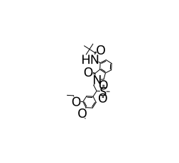 CCOc1cc(C(CN2Cc3cccc(NC(=O)C(C)(C)C)c3C2=O)S(C)(=O)=O)ccc1OC